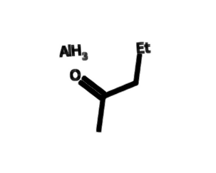 CCCC(C)=O.[AlH3]